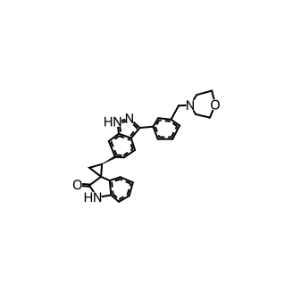 O=C1Nc2ccccc2C12C[C@H]2c1ccc2c(-c3cccc(CN4CCOCC4)c3)n[nH]c2c1